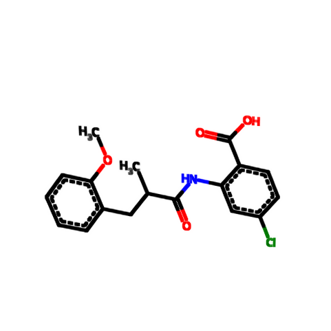 COc1ccccc1CC(C)C(=O)Nc1cc(Cl)ccc1C(=O)O